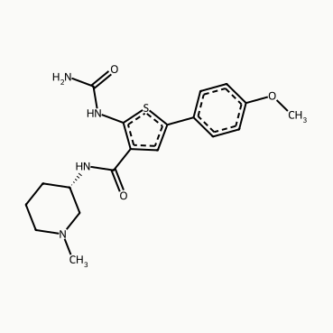 COc1ccc(-c2cc(C(=O)N[C@H]3CCCN(C)C3)c(NC(N)=O)s2)cc1